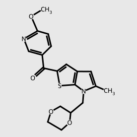 COc1ccc(C(=O)c2cc3cc(C)n(CC4COCCO4)c3s2)cn1